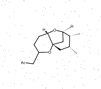 CC(=O)CC1CC[C@@H]2O[C@@H]3C[C@]2(C[C@@H](C)[C@H]3C)O1